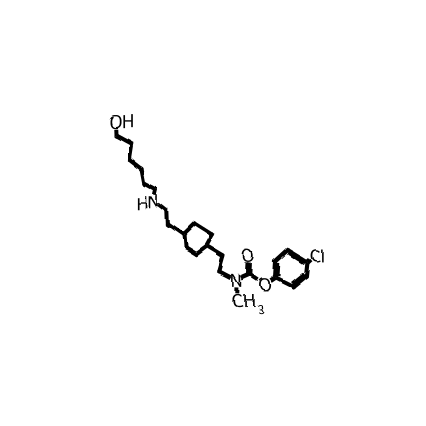 CN(CCC1CCC(CCNCCCCCCO)CC1)C(=O)Oc1ccc(Cl)cc1